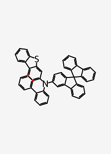 c1ccc(-c2ccccc2N(c2ccc3c(c2)-c2ccccc2C32c3ccccc3-c3ccccc32)c2ccc3c(c2)sc2ccccc23)cc1